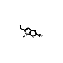 CCc1cc2cc(Br)sc2n1C